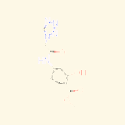 COC(=O)c1ccc(NC(=O)Cn2cnnn2)cc1O